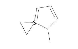 CC1C=CC=S12(C)CC2